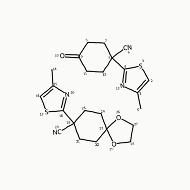 Cc1csc(C2(C#N)CCC(=O)CC2)n1.Cc1csc(C2(C#N)CCC3(CC2)OCCO3)n1